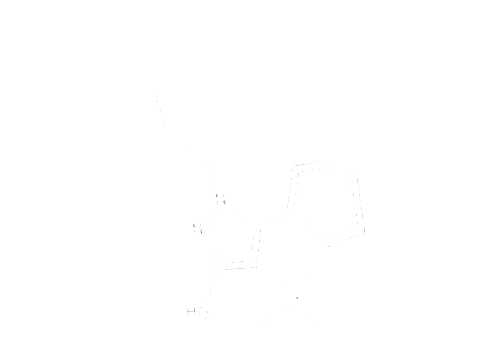 CCCCn1nc(O)c(C(C)(C)C)c1-c1ccccc1